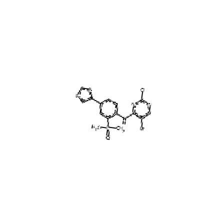 CP(C)(=O)c1cc(-c2cscn2)ccc1Nc1nc(Cl)ncc1Br